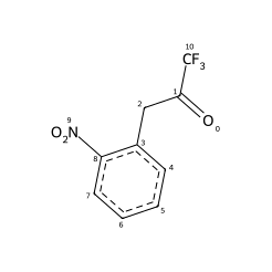 O=C(Cc1ccccc1[N+](=O)[O-])C(F)(F)F